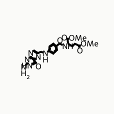 COC(=O)CCC(NC(=O)c1ccc(NCc2cnc3nc(N)[nH]c(=O)c3n2)cc1)C(=O)OC